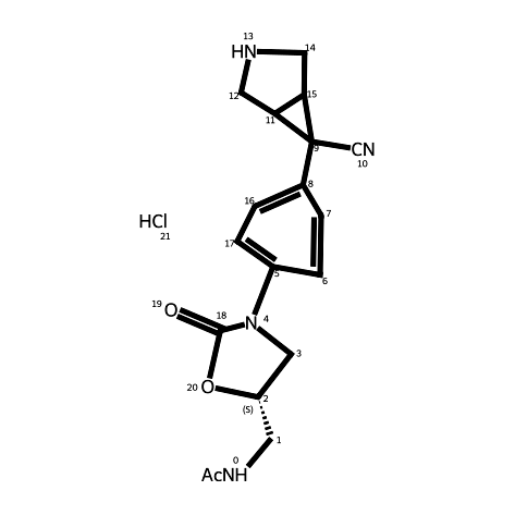 CC(=O)NC[C@H]1CN(c2ccc(C3(C#N)C4CNCC43)cc2)C(=O)O1.Cl